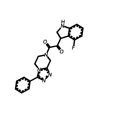 O=C(C(=O)N1CCn2c(nnc2-c2ccccc2)C1)C1CNc2cccc(F)c21